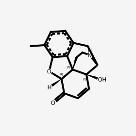 Cc1ccc2c3c1O[C@H]1C(=O)C=C[C@@]4(O)C(C2)NCC[C@]314